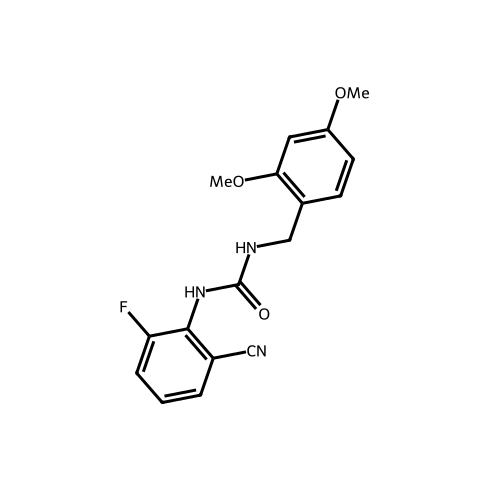 COc1ccc(CNC(=O)Nc2c(F)cccc2C#N)c(OC)c1